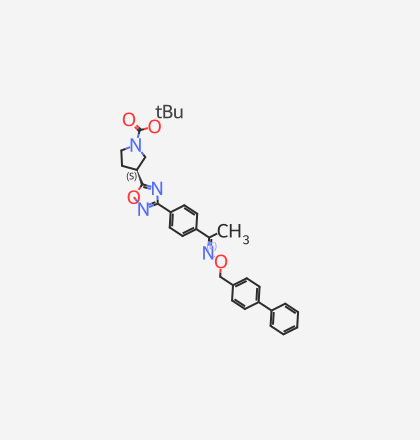 C/C(=N\OCc1ccc(-c2ccccc2)cc1)c1ccc(-c2noc([C@H]3CCN(C(=O)OC(C)(C)C)C3)n2)cc1